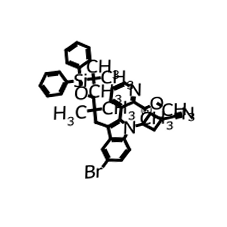 CO[C@@H](C)c1ncccc1-c1c(CC(C)(C)CO[Si](c2ccccc2)(c2ccccc2)C(C)(C)C)c2cc(Br)ccc2n1C1CC(C#N)C1